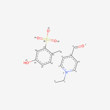 CC[n+]1ccc(C=O)cc1.Cc1ccc(O)cc1S(=O)(=O)[O-]